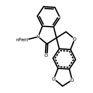 CCCCCN1C(=O)C2(COc3cc4c(cc32)OCO4)C2=IC=CC=C21